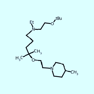 CCN(CCCC(C)(C)OCCN1CCC(C)CC1)CCOC(C)(C)C